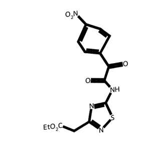 CCOC(=O)Cc1nsc(NC(=O)C(=O)c2ccc([N+](=O)[O-])cc2)n1